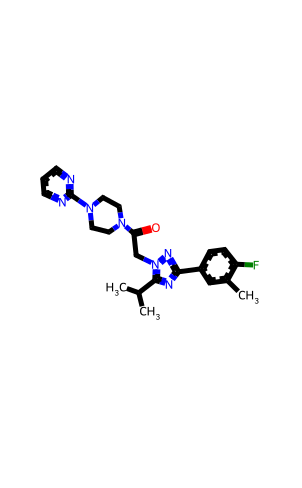 Cc1cc(-c2nc(C(C)C)n(CC(=O)N3CCN(c4ncccn4)CC3)n2)ccc1F